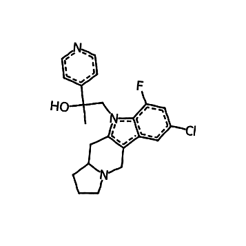 CC(O)(Cn1c2c(c3cc(Cl)cc(F)c31)CN1CCCC1C2)c1ccncc1